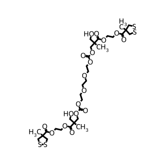 CC(CO)(COC(=O)OCCOCCOCCOC(=O)OCC(C)(CO)C(=O)OCCOC(=O)C1(C)CSSC1)C(=O)OCCOC(=O)C1(C)CSSC1